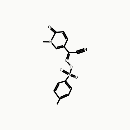 Cc1ccc(S(=O)(=O)O/N=C(\C#N)c2ccc(=O)n(C)c2)cc1